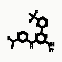 CC(C)Nc1cc(Nc2ccnc(C(F)F)c2)nc(-c2cccc(C(C)(F)F)n2)n1